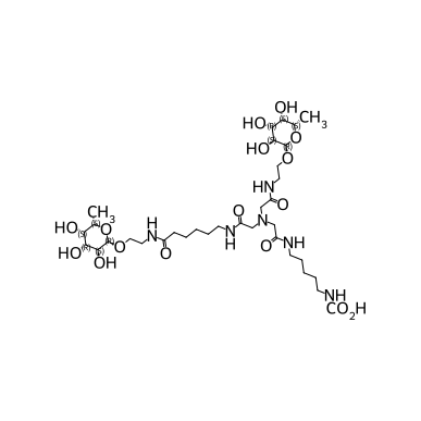 C[C@@H]1O[C@@H](OCCNC(=O)CCCCCNC(=O)CN(CC(=O)NCCCCCNC(=O)O)CC(=O)NCCO[C@@H]2O[C@@H](C)[C@@H](O)[C@@H](O)[C@@H]2O)[C@@H](O)[C@H](O)[C@@H]1O